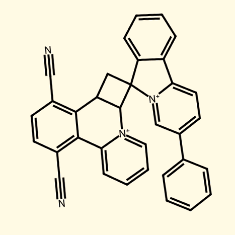 N#Cc1ccc(C#N)c2c1-c1cccc[n+]1C1C2CC12c1ccccc1-c1ccc(-c3ccccc3)c[n+]12